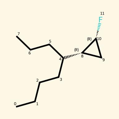 CCCCC(CCC)[C@H]1C[C@H]1F